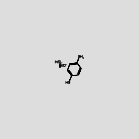 Bc1ccc(O)cc1.[OH-].[OH-].[Pd+2]